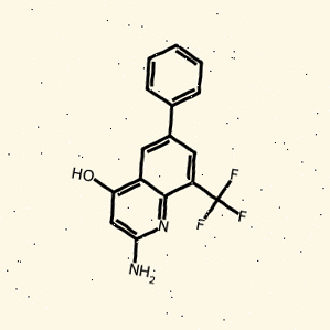 Nc1cc(O)c2cc(-c3ccccc3)cc(C(F)(F)F)c2n1